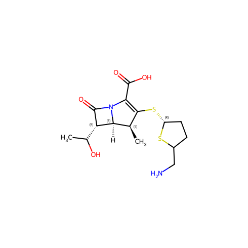 CC(O)[C@@H]1C(=O)N2C(C(=O)O)=C(S[C@@H]3CCC(CN)S3)[C@@H](C)[C@@H]12